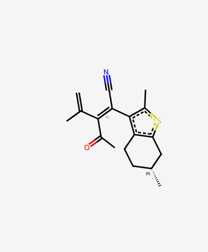 C=C(C)/C(C(C)=O)=C(\C#N)c1c(C)sc2c1CC[C@@H](C)C2